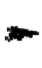 C[C@@H](Oc1cc(-n2cnc3ccc(C(F)(F)S(=O)(=O)C4CCN(C(=O)OC(C)(C)C)CC4)cc32)sc1C(N)=O)c1ccccc1C(F)(F)F